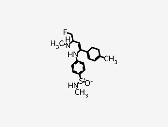 CNC(/C=C(\Nc1ccc([S+]([O-])NC)cc1)C1=CC=C(C)CC1)CF